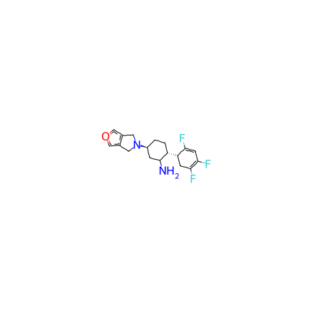 NC1C[C@@H](N2Cc3cocc3C2)CC[C@@H]1C1CC(F)=C(F)C=C1F